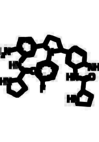 Nc1ccc(C2CCC(C3=CC(NC(=O)C4CCCN4)C(N)C=C3)N2c2ccc(F)cc2)cc1NC(=O)C1CCCN1